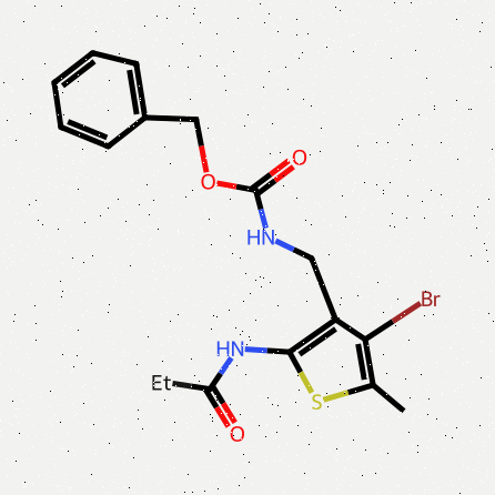 CCC(=O)Nc1sc(C)c(Br)c1CNC(=O)OCc1ccccc1